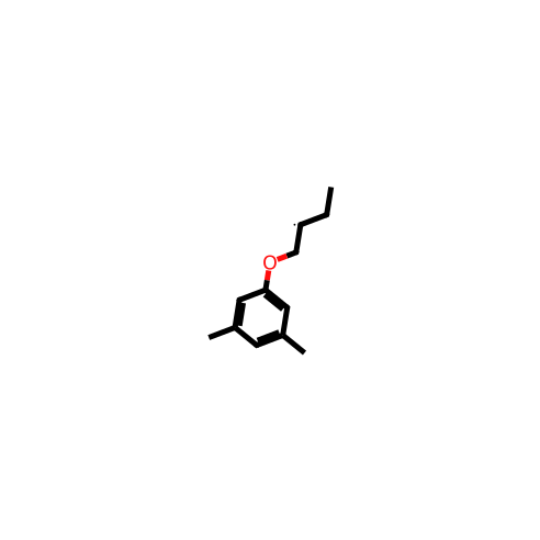 CC[CH]COc1cc(C)cc(C)c1